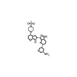 CS(=O)(=O)N1CCN(c2ccnc3[nH]c(-c4n[nH]c5ccc(-c6cncc(N)c6)nc45)cc23)CC1